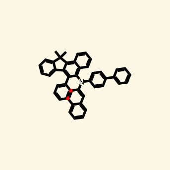 CC1(C)c2ccccc2-c2c(-c3ccccc3)c(N(c3ccc(-c4ccccc4)cc3)c3ccc4ccccc4c3)c3ccccc3c21